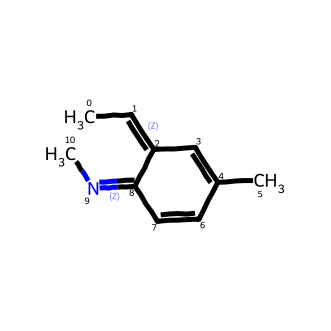 C/C=C1/C=C(C)C=C/C1=N/C